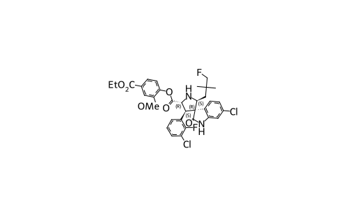 CCOC(=O)c1ccc(OC(=O)[C@@H]2N[C@@H](CC(C)(C)CF)[C@@]3(C(=O)Nc4cc(Cl)ccc43)[C@H]2c2cccc(Cl)c2F)c(OC)c1